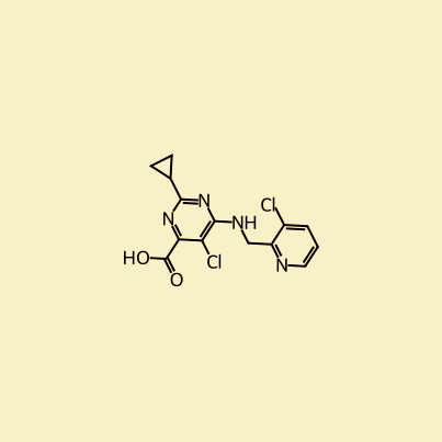 O=C(O)c1nc(C2CC2)nc(NCc2ncccc2Cl)c1Cl